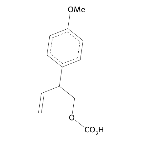 C=CC(COC(=O)O)c1ccc(OC)cc1